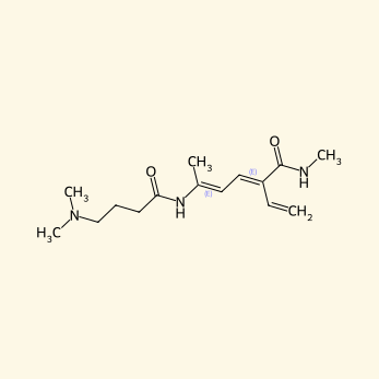 C=C/C(=C\C=C(/C)NC(=O)CCCN(C)C)C(=O)NC